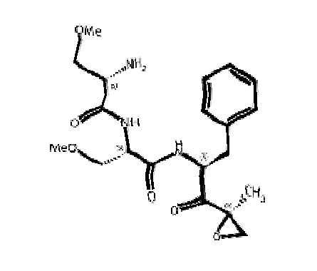 COC[C@H](NC(=O)[C@@H](N)COC)C(=O)N[C@@H](Cc1ccccc1)C(=O)[C@@]1(C)CO1